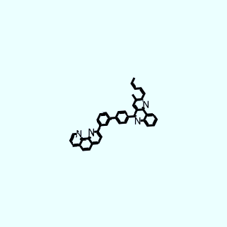 C/C=C\C=C/c1nc2c(cc1C)c(-c1ccc(-c3cccc(-c4ccc5ccc6cccnc6c5n4)c3)cc1)nc1ccccc12